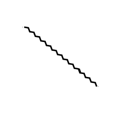 [CH2]CCCCC/C=C/CCCCCCCCCCCCCCCCCC[CH2]